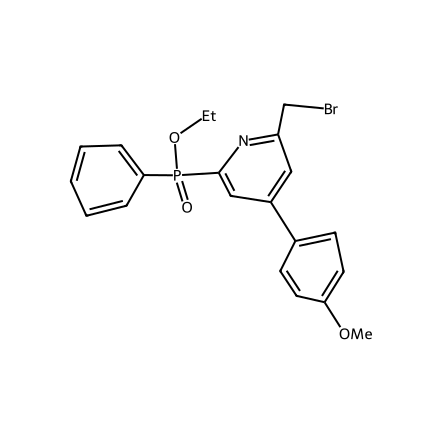 CCOP(=O)(c1ccccc1)c1cc(-c2ccc(OC)cc2)cc(CBr)n1